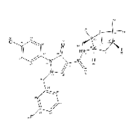 C[C@@H]1C2C[C@@H](C[C@H]1NC(=O)c1cn(Cc3cccc(F)c3)n(-c3ccc(Cl)cc3)c1=O)C2(C)C